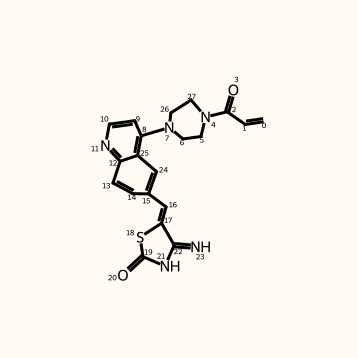 C=CC(=O)N1CCN(c2ccnc3ccc(/C=C4\SC(=O)NC4=N)cc23)CC1